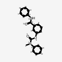 CN(C(=O)Oc1cccc(C(=O)Nc2ccccc2)c1)c1ccccc1